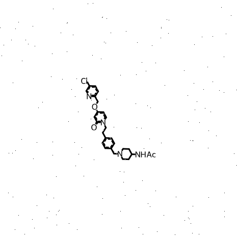 CC(=O)NC1CCN(Cc2ccc(CCn3ccc(OCc4ccc(Cl)cn4)cc3=O)cc2)CC1